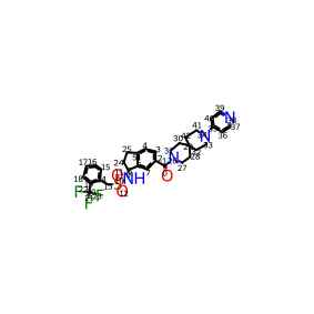 O=C(c1ccc2c(c1)C(NS(=O)(=O)Cc1ccccc1C(F)(F)F)CC2)N1CCC2(CC1)CCN(c1ccncc1)CC2